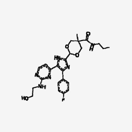 CCCNC(=O)C1(C)COC(c2nc(-c3ccc(F)cc3)c(-c3ccnc(NCCO)n3)[nH]2)OC1